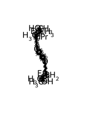 BC(CC)(CCCCCCOc1ccc(-c2ccc(OCCCCCCC(C)(CCC)OCC(C)C(C)(O)CC)cc2)cc1)OCC(C)C(C)(O)CC